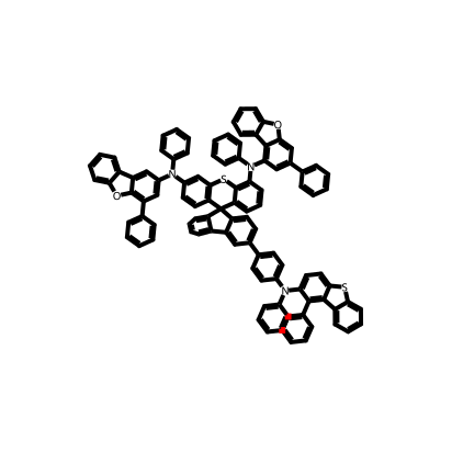 c1ccc(-c2cc(N(c3ccccc3)c3cccc4c3Sc3cc(N(c5ccccc5)c5cc(-c6ccccc6)c6oc7ccccc7c6c5)ccc3C43c4ccccc4-c4cc(-c5ccc(N(c6ccccc6)c6ccc7sc8ccccc8c7c6-c6ccccc6)cc5)ccc43)c3c(c2)oc2ccccc23)cc1